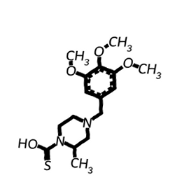 COc1cc(CN2CCN(C(O)=S)C(C)C2)cc(OC)c1OC